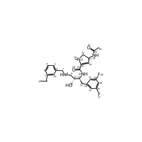 CCc1cccc(CNC[C@@H](O)[C@H](Cc2cc(F)cc(F)c2)NC(=O)C2=CC(NC(C)=O)CN2C)c1